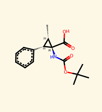 C[C@H]1[C@@H](c2ccccc2)[C@@]1(NC(=O)OC(C)(C)C)C(=O)O